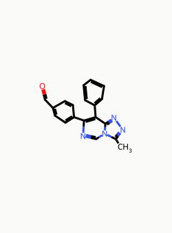 Cc1nnc2c(-c3ccccc3)c(-c3ccc(C=O)cc3)ncn12